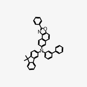 CC1(C)c2ccccc2-c2cc(N(c3cccc(-c4ccccc4)c3)c3ccc4c(ccc5oc(-c6ccccc6)nc54)c3)ccc21